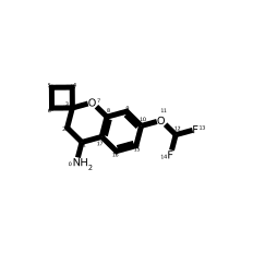 NC1CC2(CCC2)Oc2cc(OC(F)F)ccc21